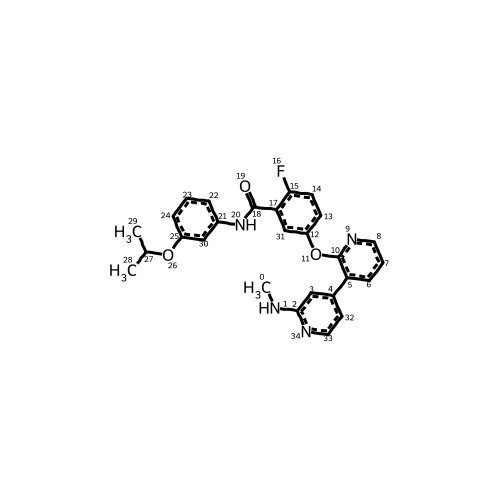 CNc1cc(-c2cccnc2Oc2ccc(F)c(C(=O)Nc3cccc(OC(C)C)c3)c2)ccn1